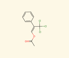 CC(=O)OC=C(c1ccccc1)C(Cl)(Cl)Cl